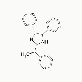 C[C@@H](C1=N[C@H](c2ccccc2)[C@H](c2ccccc2)N1)c1ccccc1